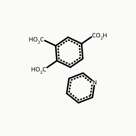 O=C(O)c1ccc(C(=O)O)c(C(=O)O)c1.c1ccncc1